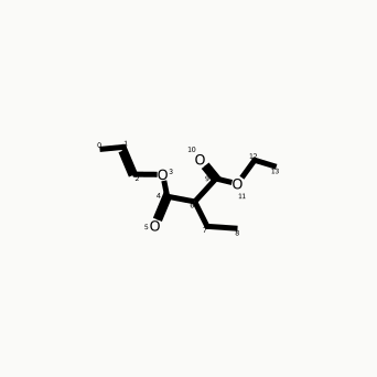 CC=COC(=O)C(CC)C(=O)OCC